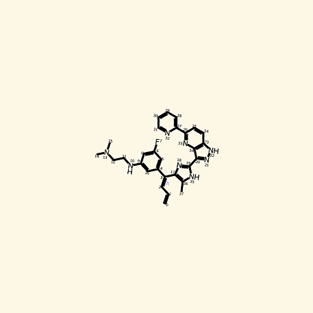 C=C/C=C(/c1cc(F)cc(NCCN(C)C)c1)c1nc(-c2n[nH]c3ccc(-c4ccccn4)nc23)[nH]c1C